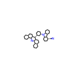 N#Cc1cccc2c1c1ccccc1n2-c1cccc(-c2c3ccc4ccccc4c3nc3c2ccc2ccccc23)c1